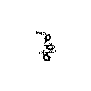 COc1cccc(Sc2cc(Nc3n[nH]c4ccccc34)cnn2)c1